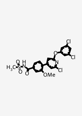 COc1cc(C(=O)NS(C)(=O)=O)ccc1-c1cc(Cl)nc(Oc2cc(Cl)cc(Cl)c2)c1